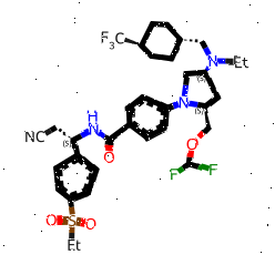 CCN(C[C@H]1CC[C@H](C(F)(F)F)CC1)[C@H]1C[C@@H](COC(F)F)N(c2ccc(C(=O)N[C@@H](CC#N)c3ccc(S(=O)(=O)CC)cc3)cc2)C1